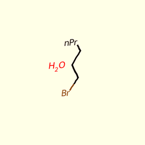 CCCCCCBr.O